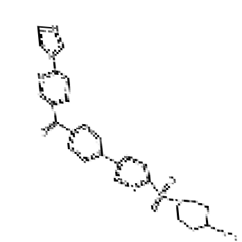 NC1CCN(S(=O)(=O)c2ccc(-c3ccc(C(=O)c4ccc(-n5ccnc5)nc4)cc3)cn2)CC1